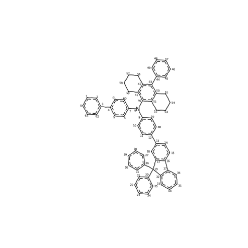 c1ccc(-c2ccc(N(c3ccc(-c4ccc5c(c4)C(c4ccccc4)(c4ccccc4)c4ccccc4-5)cc3)c3c4c(c(-c5ccccc5)c5c3CCCC5)CCCC4)cc2)cc1